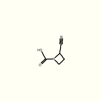 N#CC1CCN1C(=O)O